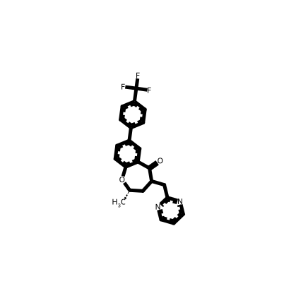 C[C@H]1CC(Cc2ncccn2)C(=O)c2cc(-c3ccc(C(F)(F)F)cc3)ccc2O1